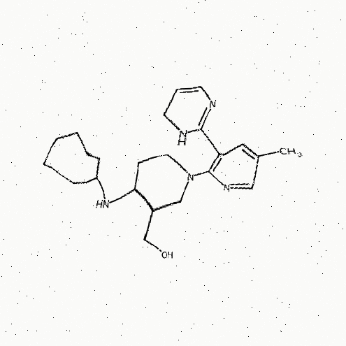 Cc1cnc(N2CCC(NC3CCCCC3)C(CO)C2)c(C2=NC=CCN2)c1